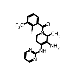 CC1C(N)=C(Nc2ncccn2)CCN1C(=O)c1cccc(C(F)(F)F)c1F